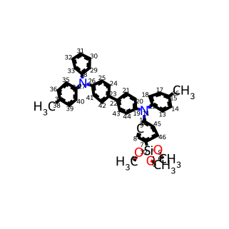 CO[Si](OC)(OC)c1ccc(N(c2ccc(C)cc2)c2ccc(-c3ccc(N(c4ccccc4)c4ccc(C)cc4)cc3)cc2)cc1